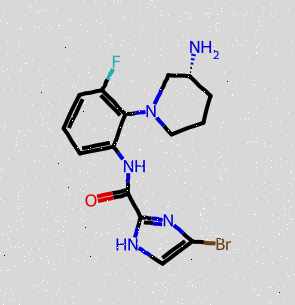 N[C@@H]1CCCN(c2c(F)cccc2NC(=O)c2nc(Br)c[nH]2)C1